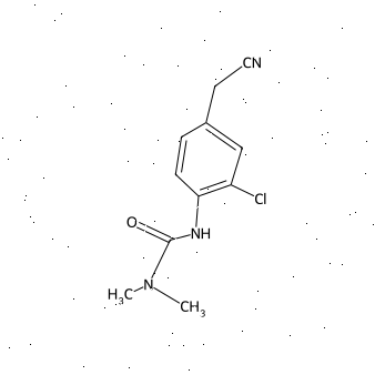 CN(C)C(=O)Nc1ccc(CC#N)cc1Cl